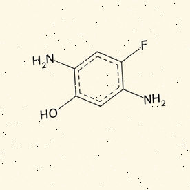 Nc1cc(F)c(N)cc1O